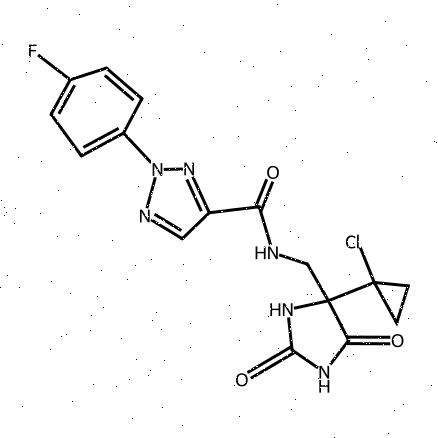 O=C1NC(=O)C(CNC(=O)c2cnn(-c3ccc(F)cc3)n2)(C2(Cl)CC2)N1